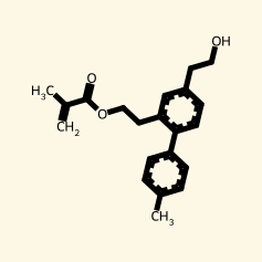 C=C(C)C(=O)OCCc1cc(CCO)ccc1-c1ccc(C)cc1